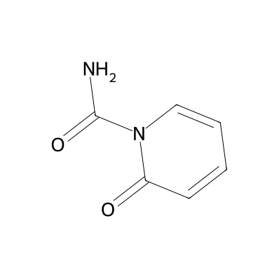 NC(=O)n1ccccc1=O